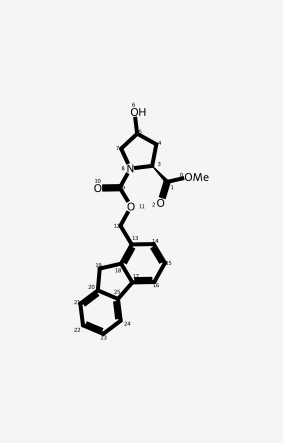 COC(=O)[C@@H]1CC(O)CN1C(=O)OCc1cccc2c1Cc1ccccc1-2